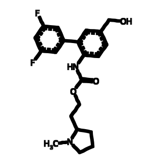 CN1CCCC1CCOC(=O)Nc1ccc(CO)cc1-c1cc(F)cc(F)c1